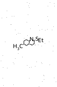 CCSc1ccc2cc(C)ccc2n1